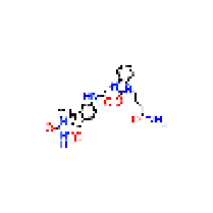 CN1C(=O)NC(=O)C12Cc1ccc(NC(=O)Cn3c(=O)n(CCCC(N)=O)c4ccccc43)cc1C2